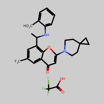 CC(Nc1ccccc1C(=O)O)c1cc(C(F)(F)F)cc2c(=O)cc(N3CCC4(CC3)CC4)oc12.O=C(O)C(F)(F)F